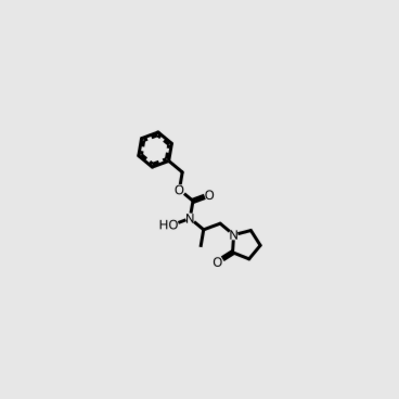 CC(CN1CCCC1=O)N(O)C(=O)OCc1ccccc1